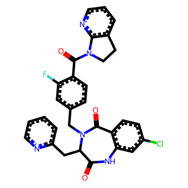 O=C1Nc2cc(Cl)ccc2C(=O)N(Cc2ccc(C(=O)N3CCc4cccnc43)c(F)c2)C1Cc1ccccn1